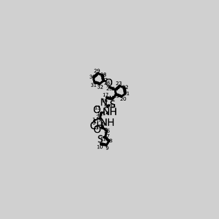 CC[C@H](NC(=O)Cc1cccs1)C(=O)Nc1ncc(-c2ccccc2COc2ccccc2)s1